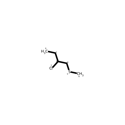 CCC(Cl)CSC